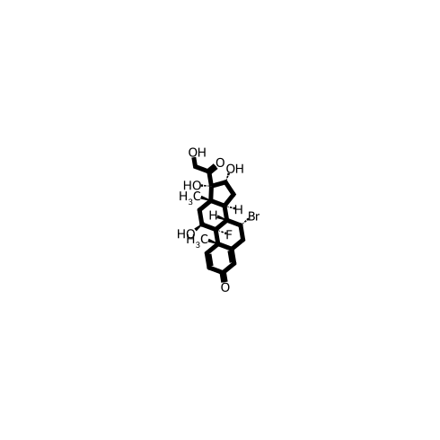 C[C@]12C=CC(=O)C=C1C[C@@H](Br)[C@H]1[C@@H]3C[C@@H](O)[C@](O)(C(=O)CO)[C@@]3(C)C[C@H](O)[C@@]12F